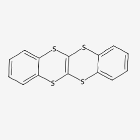 c1ccc2sc3sc4ccccc4sc=3sc2c1